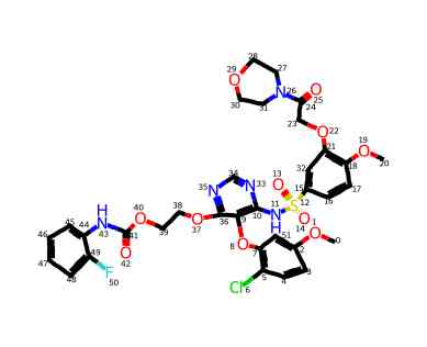 COc1ccc(Cl)c(Oc2c(NS(=O)(=O)c3ccc(OC)c(OCC(=O)N4CCOCC4)c3)ncnc2OCCOC(=O)Nc2ccccc2F)c1